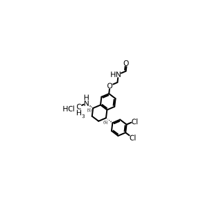 CN[C@H]1CC[C@@H](c2ccc(Cl)c(Cl)c2)c2ccc(OCNC=O)cc21.Cl